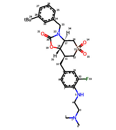 CN(C)CCNc1ccc(C[C@@H]2CS(=O)(=O)C[C@H]3[C@H]2OC(=O)N3Cc2cccc(C(C)(C)C)c2)cc1F